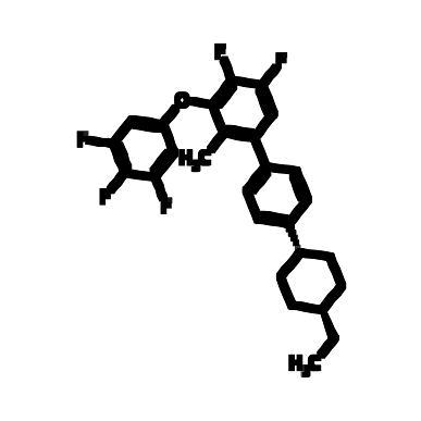 CC[C@H]1CC[C@H](c2ccc(-c3cc(F)c(F)c(Oc4cc(F)c(F)c(F)c4)c3C)cc2)CC1